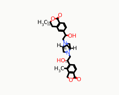 Cc1c([C@H](O)CN2C[C@H]3C[C@@H]2CN3CC(O)c2ccc3c(c2)C[C@H](C)OC3=O)ccc2c1COC2=O